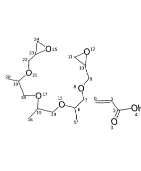 C=CC(=O)O.CC(COCC1CO1)OCC(C)OCC(C)OCC1CO1